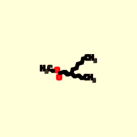 CCCCCCC(/C=C/C(=O)OCC)CCCC